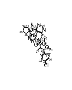 COc1ncnc(OC)c1-n1c(NS(=O)(=O)C(C)C(OC)c2ncc(Cl)cn2)nnc1C1(O)CCCC1